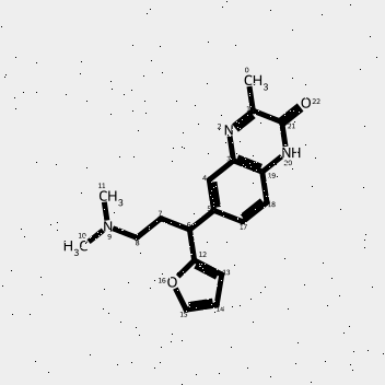 Cc1nc2cc(C(CCN(C)C)c3ccco3)ccc2[nH]c1=O